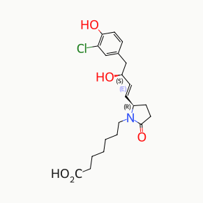 O=C(O)CCCCCCN1C(=O)CC[C@@H]1/C=C/[C@@H](O)Cc1ccc(O)c(Cl)c1